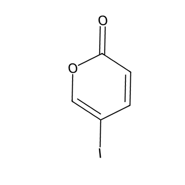 O=c1ccc(I)co1